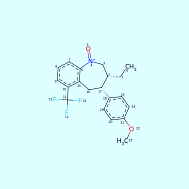 CC[C@H]1C[N+](=O)c2cccc(C(F)(F)F)c2C[C@H]1c1ccc(OC)cc1